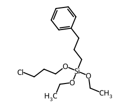 CCO[Si](CCCc1ccccc1)(OCC)OCCCCl